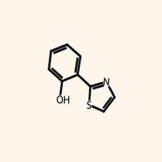 Oc1ccccc1-c1nccs1